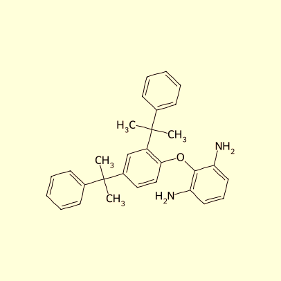 CC(C)(c1ccccc1)c1ccc(Oc2c(N)cccc2N)c(C(C)(C)c2ccccc2)c1